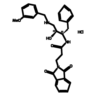 COc1cccc(CNC[C@H](O)[C@H](Cc2ccccc2)NC(=O)CCN2C(=O)c3ccccc3C2=O)c1.Cl